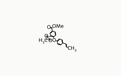 CC=Cc1ccc(Oc2ccc(C(=O)OC)cc2S(C)(=O)=O)cc1